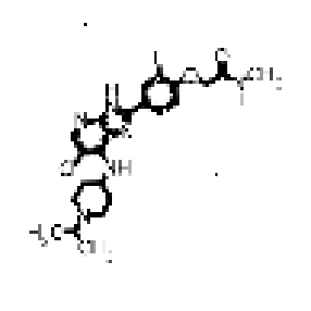 CNC(=O)COc1ccc(-c2nc3c(NC4CCN(C(C)C)CC4)c(Cl)cnc3[nH]2)cc1F